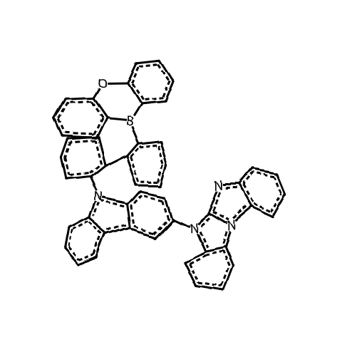 c1ccc2c(c1)Oc1ccccc1B2c1ccccc1-c1ccccc1-n1c2ccccc2c2cc(-n3c4ccccc4n4c5ccccc5nc34)ccc21